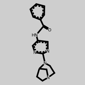 O=C(Nc1cnc(N2CCN3CCC2C3)nc1)c1ccccc1